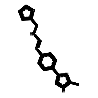 Cc1nc(-c2ccc(/N=C/NCc3ccco3)cc2)c[nH]1